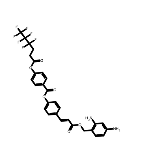 Nc1ccc(COC(=O)/C=C/c2ccc(OC(=O)c3ccc(OC(=O)CCC(F)(F)C(F)(F)C(F)(F)F)cc3)cc2)c(N)c1